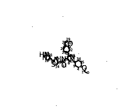 CCO[C@H]1CC[C@H](n2cc(NC(=O)c3csc(-c4cn[nH]c4)n3)c(-c3ccc4ccoc4c3)n2)CC1